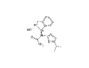 CC(C)c1cnc(N(C(N)=O)[C@@H]2c3ccccc3C[C@H]2O)s1